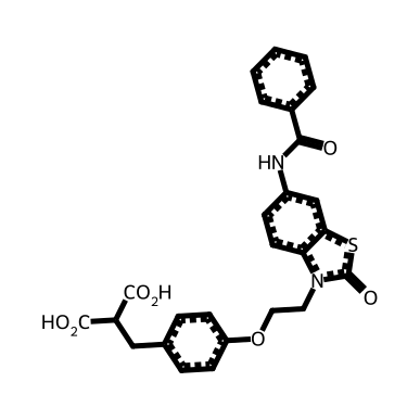 O=C(Nc1ccc2c(c1)sc(=O)n2CCOc1ccc(CC(C(=O)O)C(=O)O)cc1)c1ccccc1